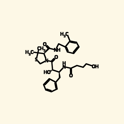 Cc1ccccc1CNC(=O)[C@H]1N(C(=O)[C@@H](O)[C@H](Cc2ccccc2)NC(=O)CCCO)CSC1(C)C